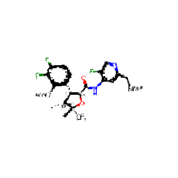 CNCc1cc(NC(=O)[C@H]2O[C@](C)(C(F)(F)F)[C@H](C)[C@@H]2c2ccc(F)c(F)c2OC)c(F)cn1